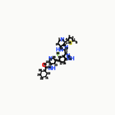 Cc1ccc(-c2nccc3[nH]c(-c4n[nH]c5ccc(-c6cncc(NC(=O)C7CCCCC7)c6)c(F)c45)nc23)s1